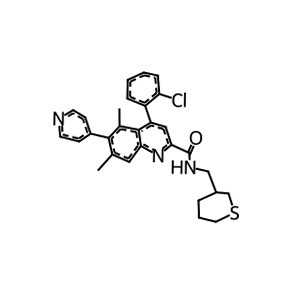 Cc1cc2nc(C(=O)NCC3CCCSC3)cc(-c3ccccc3Cl)c2c(C)c1-c1ccncc1